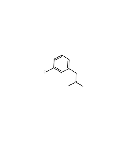 CN(C)Cc1[c]c(Cl)ccc1